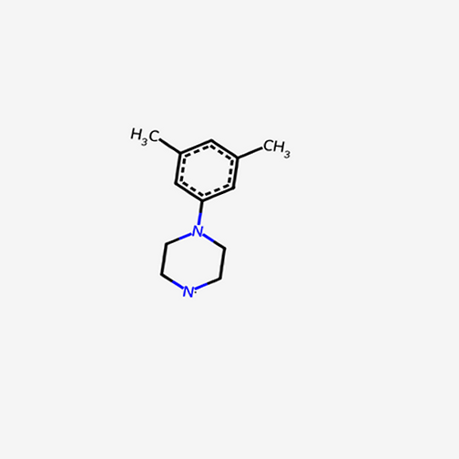 Cc1cc(C)cc(N2CC[N]CC2)c1